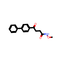 CONC(=O)CCC(=O)c1ccc(-c2ccccc2)cc1